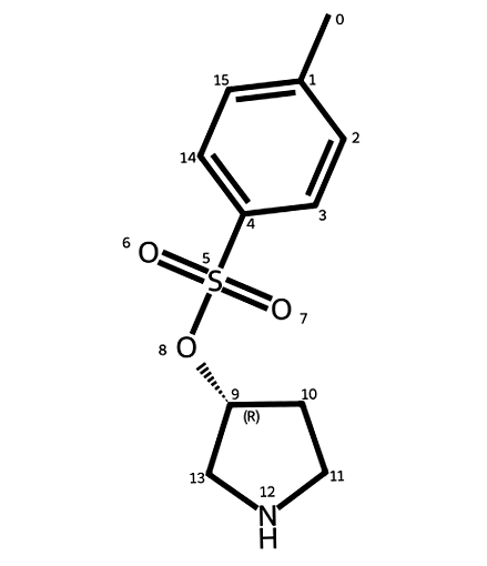 Cc1ccc(S(=O)(=O)O[C@@H]2CCNC2)cc1